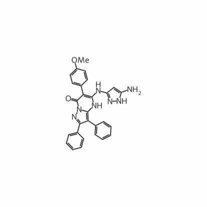 COc1ccc(-c2c(Nc3cc(N)[nH]n3)[nH]c3c(-c4ccccc4)c(-c4ccccc4)nn3c2=O)cc1